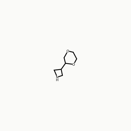 C1COC(C2CNC2)CO1